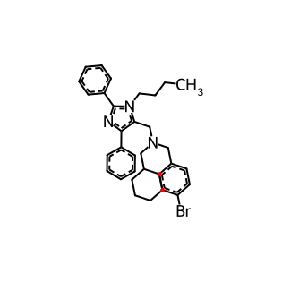 CCCCn1c(-c2ccccc2)nc(-c2ccccc2)c1CN(Cc1ccc(Br)cc1)CC1CCCCC1